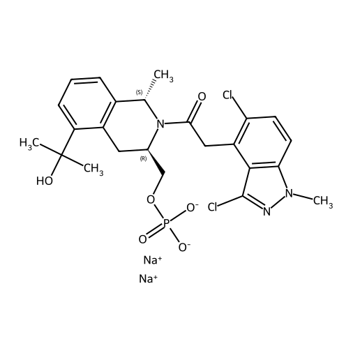 C[C@H]1c2cccc(C(C)(C)O)c2C[C@H](COP(=O)([O-])[O-])N1C(=O)Cc1c(Cl)ccc2c1c(Cl)nn2C.[Na+].[Na+]